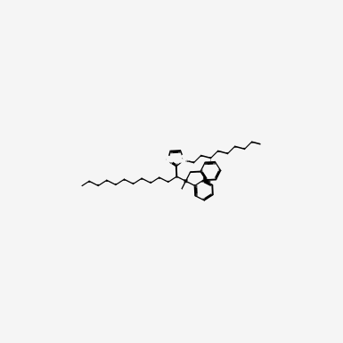 CCCCCCCCCCCC(c1nccn1CCCCCCCCC)C(C)(Cc1ccccc1)c1ccccc1